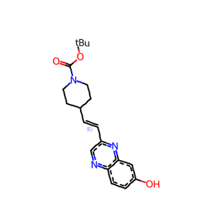 CC(C)(C)OC(=O)N1CCC(/C=C/c2cnc3ccc(O)cc3n2)CC1